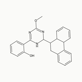 COC1=NC(C2Cc3ccccc3C3C=CC=CC32)NC(c2ccccc2O)=N1